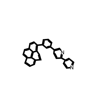 c1cc(-c2ccc(-c3ccncc3)nc2)cc(-c2ccc3ccc4cccc5ccc2c3c45)c1